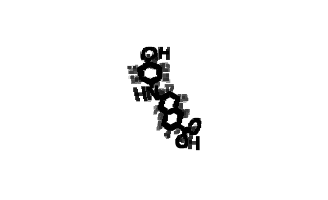 O=C(O)c1ccc2cc(Nc3ccc(O)cc3)ccc2c1